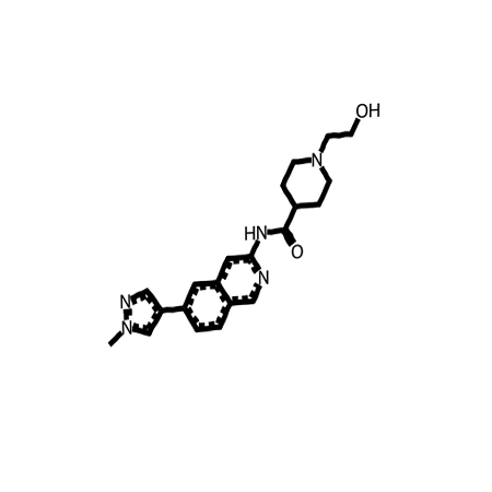 Cn1cc(-c2ccc3cnc(NC(=O)C4CCN(CCO)CC4)cc3c2)cn1